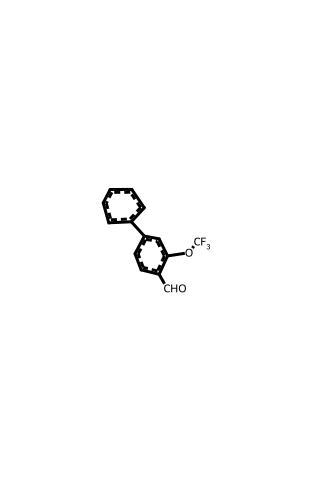 O=Cc1ccc(-c2ccccc2)cc1OC(F)(F)F